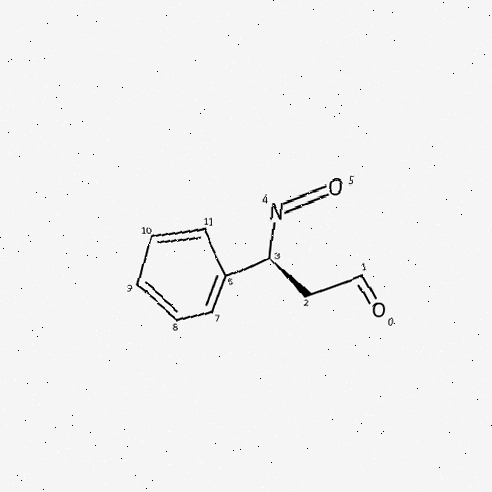 O=CC[C@H](N=O)c1ccccc1